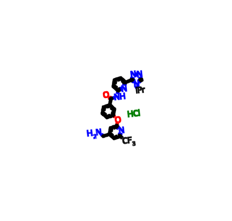 CC(C)n1cnnc1-c1cccc(NC(=O)c2cccc(Oc3cc(CN)cc(C(F)(F)F)n3)c2)n1.Cl